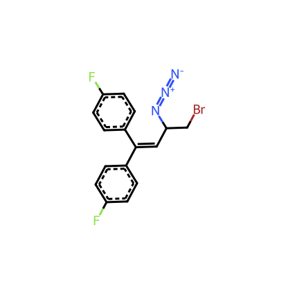 [N-]=[N+]=NC(C=C(c1ccc(F)cc1)c1ccc(F)cc1)CBr